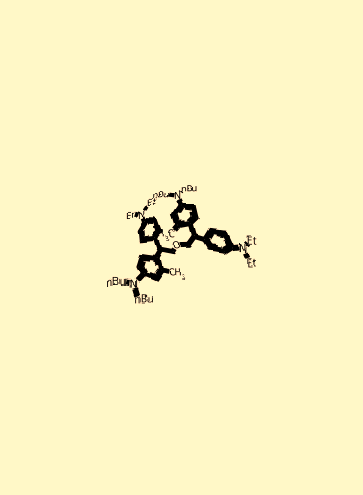 CCCCN(CCCC)c1ccc(C(COCC(c2ccc(N(CC)CC)cc2)c2ccc(N(CCCC)CCCC)cc2C)c2ccc(N(CC)CC)cc2)c(C)c1